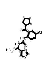 O=C(Nc1ccc(Cl)cc1C(=O)C1CCCC1)NC(C(=O)O)c1cscn1